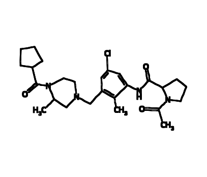 CC(=O)N1CCCC1C(=O)Nc1cc(Cl)cc(CN2CCN(C(=O)C3CCCC3)C(C)C2)c1C